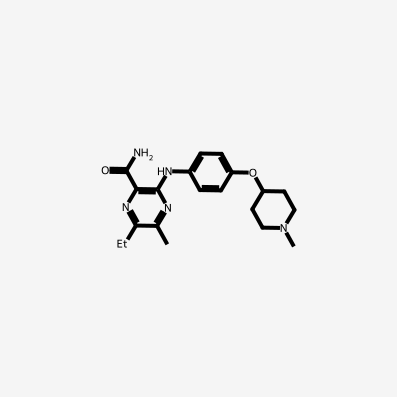 CCc1nc(C(N)=O)c(Nc2ccc(OC3CCN(C)CC3)cc2)nc1C